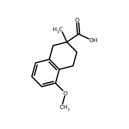 COc1cccc2c1CCC(C)(C(=O)O)C2